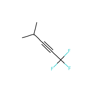 C[C](C)C#CC(F)(F)F